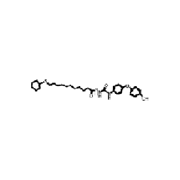 O=C(CCCCCCCCCCSC1CCCCC1)NNC(=O)Nc1ccc(Oc2ccc(O)cc2)cc1